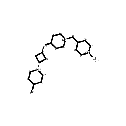 CCC1CCN([C@H]2C[C@H](OC3CCN(CC4CCN(C)CC4)CC3)C2)CC1